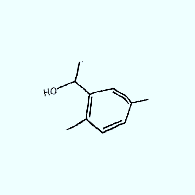 [CH2]C(O)c1cc(C)ccc1C